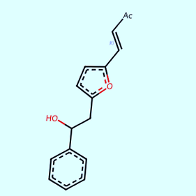 CC(=O)/C=C/c1ccc(CC(O)c2ccccc2)o1